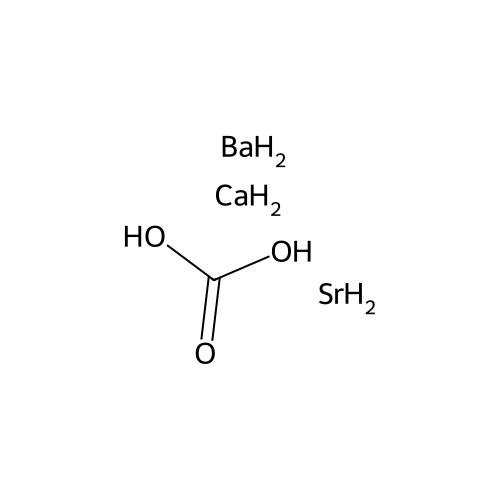 O=C(O)O.[BaH2].[CaH2].[SrH2]